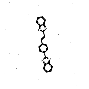 C(=Cc1nc2ccccc2o1)c1ccc(-c2nc3ccccc3o2)cc1